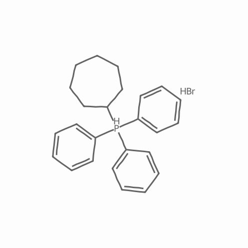 Br.c1ccc([PH](c2ccccc2)(c2ccccc2)C2CCCCCC2)cc1